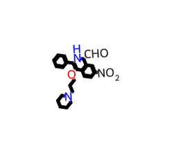 O=CC1NC(c2ccccc2)=C(OCCCN2CCCCC2)c2ccc([N+](=O)[O-])cc21